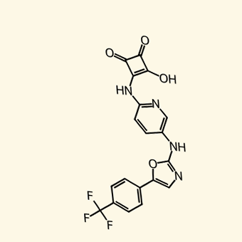 O=c1c(O)c(Nc2ccc(Nc3ncc(-c4ccc(C(F)(F)F)cc4)o3)cn2)c1=O